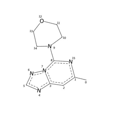 Cc1cc2ncnn2c(N2CCOCC2)n1